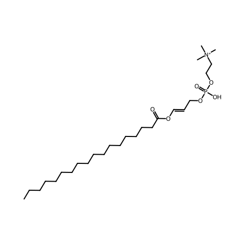 CCCCCCCCCCCCCCCCCC(=O)O/C=C/COP(=O)(O)OCC[N+](C)(C)C